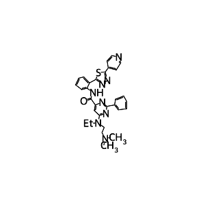 CCN(CCN(C)C)c1cc(C(=O)Nc2ccccc2-c2nnc(-c3ccncc3)s2)nc(-c2ccccc2)n1